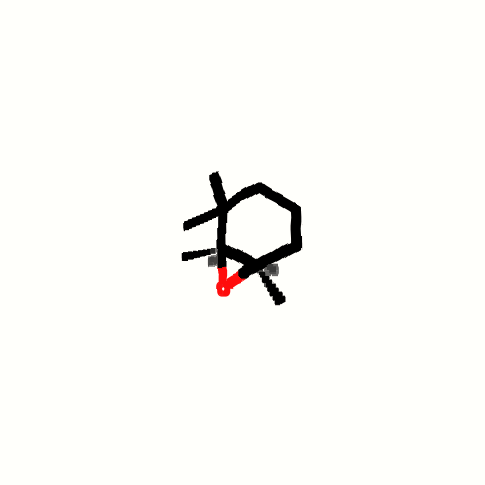 CC1(C)CCC[C@@]2(C)O[C@@]12C